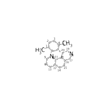 Cc1ccc(C)cc1.c1cnc2c(c1)ccc1cnccc12